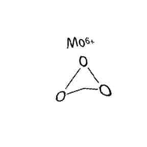 [Mo+6].o1oo1